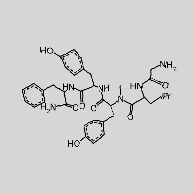 CC(C)CC(NC(=O)CN)C(=O)N(C)C(Cc1ccc(O)cc1)C(=O)NC(Cc1ccc(O)cc1)C(=O)NC(Cc1ccccc1)C(N)=O